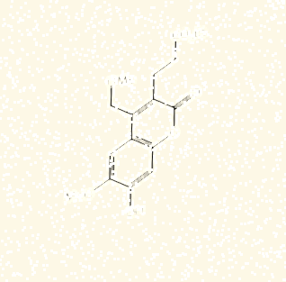 CCOC(=O)CCc1c(COC)c2cc(OC)c(O)cc2oc1=O